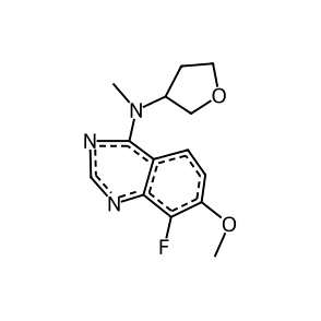 COc1ccc2c(N(C)C3CCOC3)ncnc2c1F